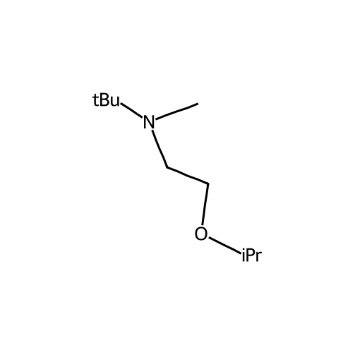 CC(C)OCCN(C)C(C)(C)C